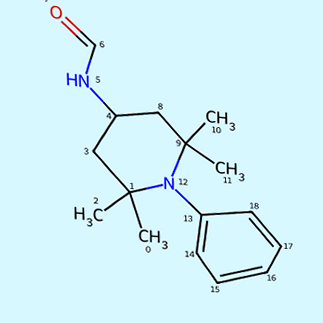 CC1(C)CC(NC=O)CC(C)(C)N1c1ccccc1